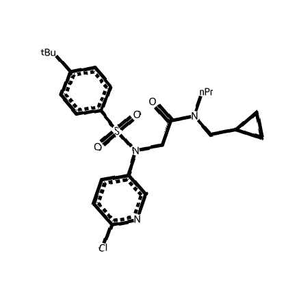 CCCN(CC1CC1)C(=O)CN(c1ccc(Cl)nc1)S(=O)(=O)c1ccc(C(C)(C)C)cc1